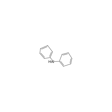 c1cc[c]([AlH][c]2ccccc2)cc1